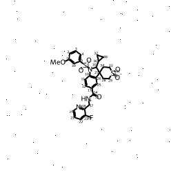 COc1cccc(S(=O)(=O)N2c3ccc(C(=O)NCc4ncccc4F)cc3C3(CCS(=O)(=O)CC3)C2C2CC2)c1